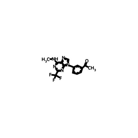 CNc1nc(C(F)(F)F)nc2c1ncn2-c1cccc(C(C)=O)c1